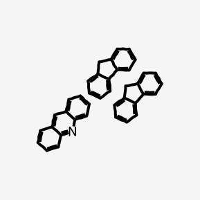 c1ccc2c(c1)Cc1ccccc1-2.c1ccc2c(c1)Cc1ccccc1-2.c1ccc2nc3ccccc3cc2c1